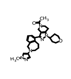 CC(=O)N1CCc2c(c(-c3cccc4c3CCCN(c3cnn(C)c3)C4)nn2C2CCOCC2)C1